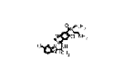 CCN(CCN)C(=O)c1cc2ncnc(NC(C)c3nc4cc(Cl)ccc4[nH]3)c2cc1Cl